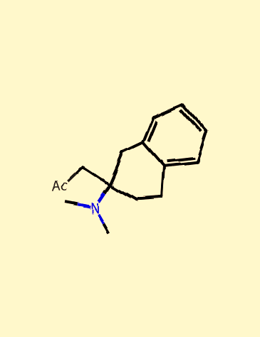 CC(=O)CC1(N(C)C)CCc2ccccc2C1